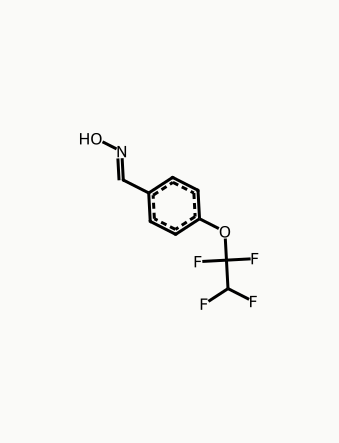 O/N=C/c1ccc(OC(F)(F)C(F)F)cc1